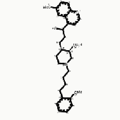 COc1ccc2nccc(C(F)CC[C@@H]3CCN(CCCCc4ccccc4OC)C[C@@H]3C(=O)O)c2c1